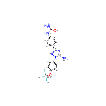 NC(=O)Nc1ccc(-c2nc(N)n(-c3ccc(OC(F)(F)F)cc3)n2)cc1